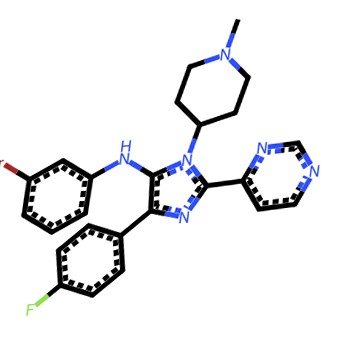 CN1CCC(n2c(-c3ccncn3)nc(-c3ccc(F)cc3)c2Nc2cccc(Br)c2)CC1